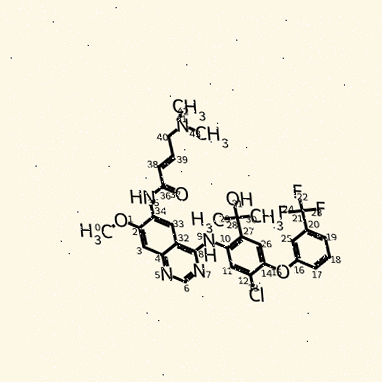 COc1cc2ncnc(Nc3cc(Cl)c(Oc4cccc(C(F)(F)F)c4)cc3C(C)(C)O)c2cc1NC(=O)C=CCN(C)C